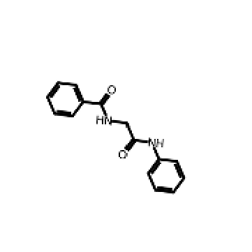 O=C(CNC(=O)c1ccccc1)Nc1ccccc1